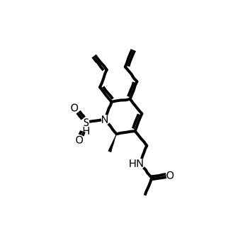 C=C/C=C1/C=C(CNC(C)=O)[C@@H](C)N([SH](=O)=O)/C1=C/C=C